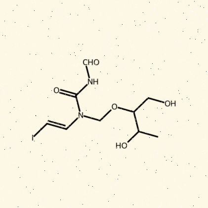 CC(O)C(CO)OCN(/C=C/I)C(=O)NC=O